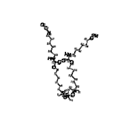 C[Si](C)(CCCCCCOC(=O)NCCCCCCN=C=O)O[Si](C)(C)O[Si](C)(C)CCCCCCOC(=O)NCCCCCCOC#N